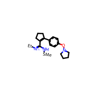 CC/N=C(/NSC)C1=C(c2ccc(ON3CCCC3)cc2)CCC1